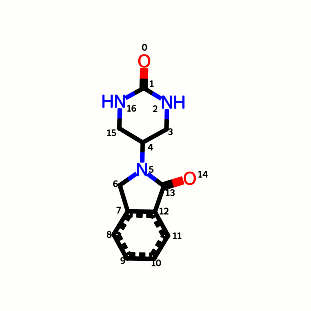 O=C1NCC(N2Cc3ccccc3C2=O)CN1